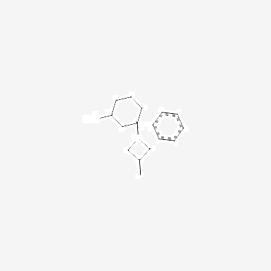 CC1CN([C@]2(c3ccccc3)CCCC(C=O)C2)C1